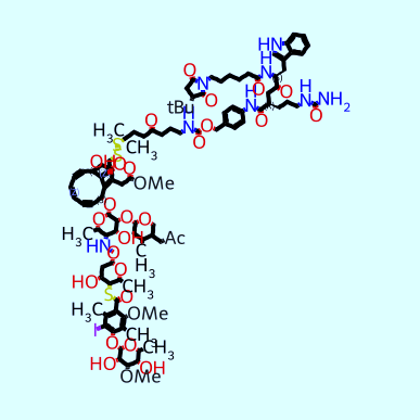 COC(=O)CC1=C2/C(=C/CSSC(C)(C)CCC(=O)CCCNC(=O)OCc3ccc(NC(=O)[C@H](CCCNC(N)=O)CC(=O)[C@H](Cc4c[nH]c5ccccc45)NC(=O)CCCCCN4C(=O)CC(C(C)(C)C)C4=O)cc3)[C@](O)(C#C/C=C\C#C[C@@H]2OC2OC(C)C(NOC3CC(O)C(SC(=O)c4c(C)c(I)c(OC5OC(C)C(O)C(OC)C5O)c(C)c4OC)C(C)O3)C(O)C2OC2CC(C)C(CC(C)=O)CO2)CC1=O